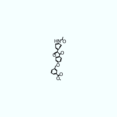 COC(=O)c1cccc(COc2ccc3c(=O)c(-c4ccc(NC(C)=O)cc4)coc3c2)c1